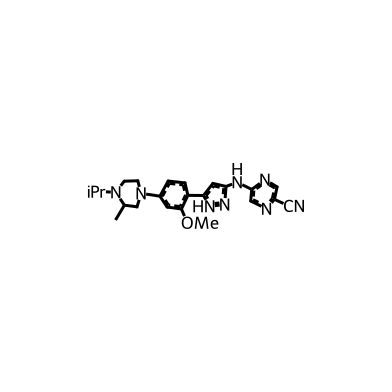 COc1cc(N2CCN(C(C)C)C(C)C2)ccc1-c1cc(Nc2cnc(C#N)cn2)n[nH]1